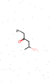 BC(C)CC(=O)CC(C)C